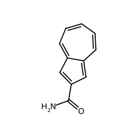 NC(=O)c1cc2cccccc-2c1